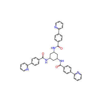 O=C(NC1CC(NC(=O)c2ccc(-c3ccccn3)cc2)CC(NC(=O)c2ccc(-c3ccccn3)cc2)C1)c1ccc(-c2ccccn2)cc1